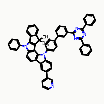 CC1(C)c2ccccc2-c2c1c1c(ccc3c4cc(-c5cccnc5)ccc4n(-c4ccc(-c5cccc(-c6nc(-c7ccccc7)nc(-c7ccccc7)n6)c5)cc4)c31)n2-c1ccccc1